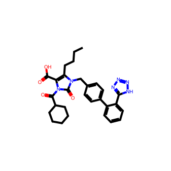 CCCCc1c(C(=O)O)n(C(=O)C2CCCCC2)c(=O)n1Cc1ccc(-c2ccccc2-c2nnn[nH]2)cc1